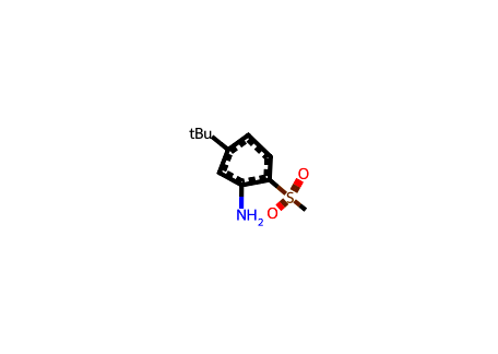 CC(C)(C)c1ccc(S(C)(=O)=O)c(N)c1